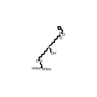 CCCCCCC(CCCCCC)CCOC(=O)CCCCCCCN(CCO)CCCCCCCC(=O)OC(=O)CC12CC(C1)C2